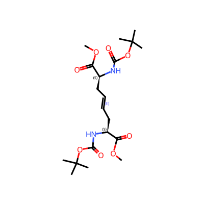 COC(=O)[C@H](C/C=C/C[C@H](NC(=O)OC(C)(C)C)C(=O)OC)NC(=O)OC(C)(C)C